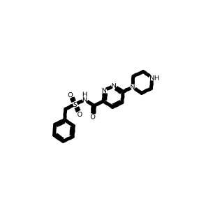 O=C(NS(=O)(=O)Cc1ccccc1)c1ccc(N2CCNCC2)nn1